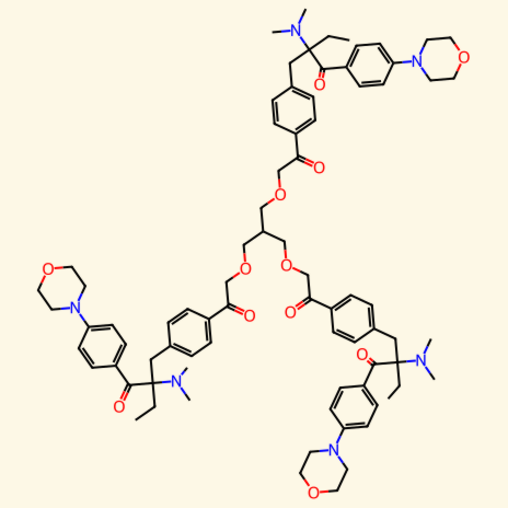 CCC(Cc1ccc(C(=O)COCC(COCC(=O)c2ccc(CC(CC)(C(=O)c3ccc(N4CCOCC4)cc3)N(C)C)cc2)COCC(=O)c2ccc(CC(CC)(C(=O)c3ccc(N4CCOCC4)cc3)N(C)C)cc2)cc1)(C(=O)c1ccc(N2CCOCC2)cc1)N(C)C